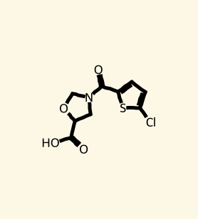 O=C(O)C1CN(C(=O)c2ccc(Cl)s2)CO1